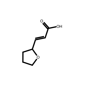 O=C(O)C=CC1CCCO1